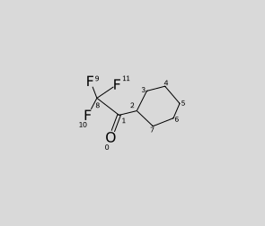 O=C(C1CCCCC1)C(F)(F)F